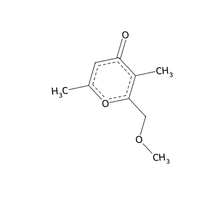 COCc1oc(C)cc(=O)c1C